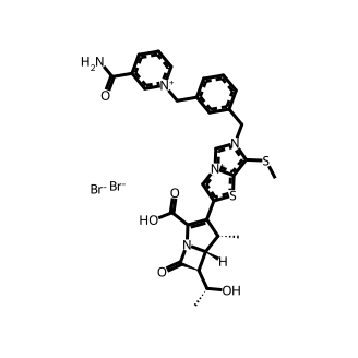 CSc1c2sc(C3=C(C(=O)O)N4C(=O)[C@H]([C@@H](C)O)[C@H]4[C@H]3C)c[n+]2cn1Cc1cccc(C[n+]2cccc(C(N)=O)c2)c1.[Br-].[Br-]